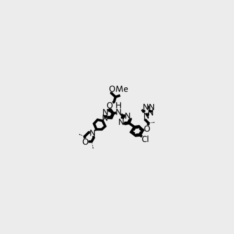 COCC(C)COc1nn([C@H]2CC[C@H](N3C[C@@H](C)O[C@@H](C)C3)CC2)cc1Nc1ncc(-c2ccc(Cl)c(O[C@@H](C)Cn3cnnn3)c2)cn1